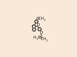 COc1ccc(-c2ccc3ccccc3c2C(=O)c2ccc(OCCN(C)C)cc2)cc1